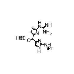 CC(C)Nc1nc(C(=O)c2csc(NC(=N)N)n2)c[nH]1.Cl.Cl